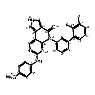 COc1ccc(Nc2ncc3c4n[nH]cc4c(=O)n(-c4cccc(-c5cccc(C)c5C)c4)c3n2)cc1